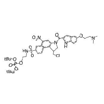 CN(C)CCOc1ccc2[nH]c(C(=O)N3CC(CCl)c4c3cc([N+](=O)[O-])c3cc(S(=O)(=O)NCCOP(=O)(OC(C)(C)C)OC(C)(C)C)ccc43)cc2c1